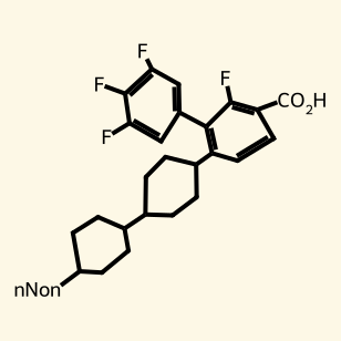 CCCCCCCCCC1CCC(C2CCC(c3ccc(C(=O)O)c(F)c3-c3cc(F)c(F)c(F)c3)CC2)CC1